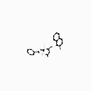 Cc1ccc2ccccc2c1OCc1cc(=O)n2nc(-c3ccccc3)nc2[nH]1